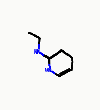 CCNC1CCC=CN1